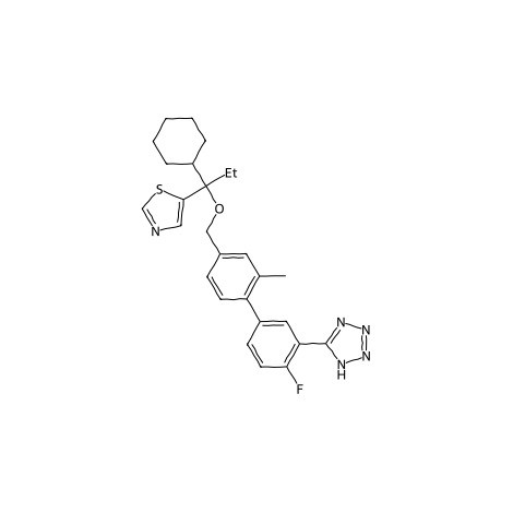 CCC(OCc1ccc(-c2ccc(F)c(-c3nnn[nH]3)c2)c(C)c1)(c1cncs1)C1CCCCC1